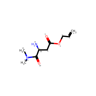 C=CCOC(=O)C[C@H](N)C(=O)N(C)C